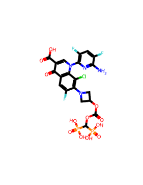 Nc1nc(-n2cc(C(=O)O)c(=O)c3cc(F)c(N4CC(OC(=O)OC(P(=O)(O)O)P(=O)(O)O)C4)c(Cl)c32)c(F)cc1F